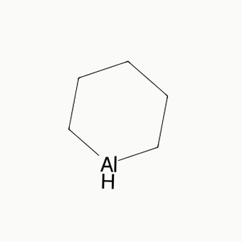 C1C[CH2][AlH][CH2]C1